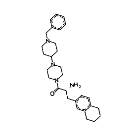 N[C@H](Cc1ccc2c(c1)CCCC2)C(=O)N1CCN(C2CCN(Cc3ccccc3)CC2)CC1